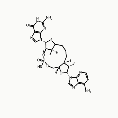 Nc1nc2c(ncn2[C@@H]2SC3CCC[C@H]4[C@H](F)[C@H](n5nnc6c(N)ncnc65)O[C@@H]4COP(=O)(S)O[C@@H]2[C@@H]3F)c(=O)[nH]1